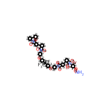 NOOc1cc(Br)c(N2C(=O)c3cccc(-c4ccc5c(c4)C(=O)N(c4ccc(Oc6ccc(C(c7ccc(Oc8ccc(N9C(=O)c%10cccc(-c%11ccc%12c(c%11)C(=O)N(c%11ccccc%11-c%11ccccc%11)C%12=O)c%10C9=O)cc8)cc7)(C(F)(F)F)C(F)(F)F)cc6)cc4)C5=O)c3C2=O)c(Br)c1